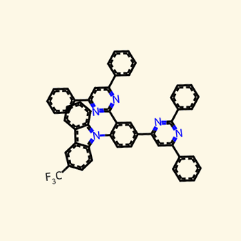 FC(F)(F)c1ccc2c(c1)c1ccccc1n2-c1ccc(-c2cc(-c3ccccc3)nc(-c3ccccc3)n2)cc1-c1nc(-c2ccccc2)cc(-c2ccccc2)n1